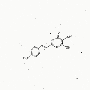 Cc1ccc(/C=C/c2cc(O)c(O)c(=O)o2)cc1